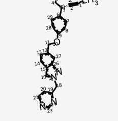 CC#C[C@@H](CC(=O)O)c1ccc(OCc2ccc3cn(Cc4ccncn4)nc3c2)cc1